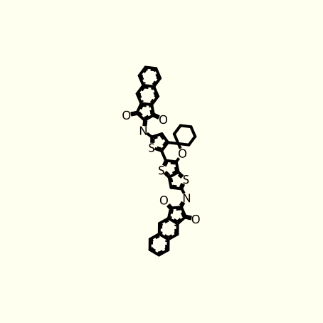 O=c1c(=Nc2cc3c(s2)-c2sc4cc(N=c5c(=O)c6cc7ccccc7cc6c5=O)sc4c2OC32CCCCC2)c(=O)c2cc3ccccc3cc12